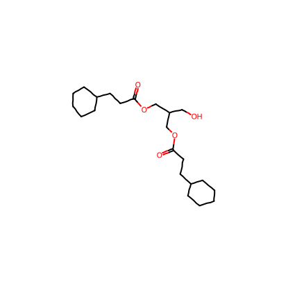 O=C(CCC1CCCCC1)OCC(CO)COC(=O)CCC1CCCCC1